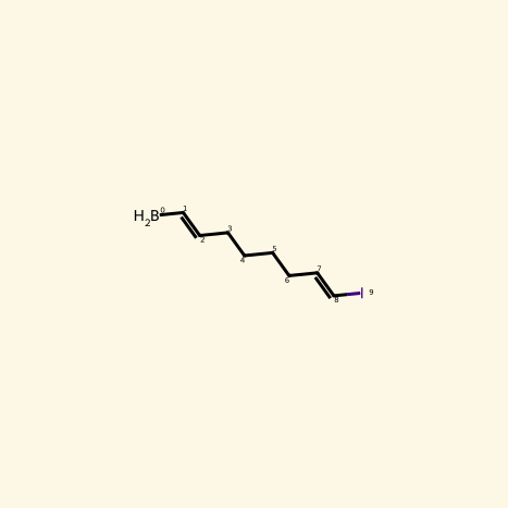 B/C=C/CCCC/C=C/I